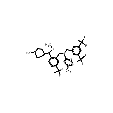 COC(c1ccc(C(F)(F)F)cc1CN(Cc1cc(C(F)(F)F)cc(C(F)(F)F)c1)c1nnn(C)n1)C1CCN(C)CC1